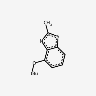 Cc1nc2c(OC(C)(C)C)cccc2s1